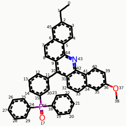 CCc1ccc2c(ccc3c(-c4cccc(P(=O)(c5ccccc5)c5ccccc5)c4)c4ccc5cc(OC)ccc5c4nc32)c1